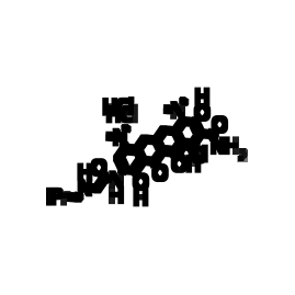 CC(C)CNCC(=O)Nc1cc(N(C)C)c2c(c1O)C(=O)C1=C(O)[C@]3(O)C(=O)C(C(N)=O)=C(O)[C@@H](N(C)C)C3CC1C2.Cl.Cl